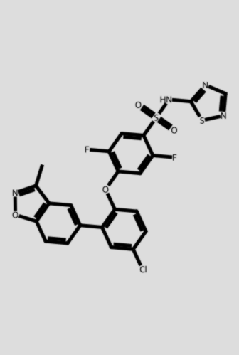 Cc1noc2ccc(-c3cc(Cl)ccc3Oc3cc(F)c(S(=O)(=O)Nc4ncns4)cc3F)cc12